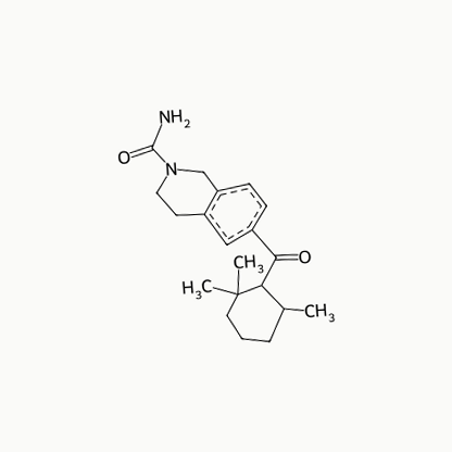 CC1CCCC(C)(C)C1C(=O)c1ccc2c(c1)CCN(C(N)=O)C2